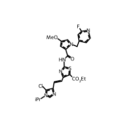 CCOC(=O)c1sc(NC(=O)c2cc(OC)cn2Cc2ccnc(F)c2)nc1/C=C/c1ncn(C(C)C)c1Cl